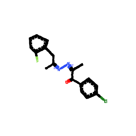 C/C(Cc1ccccc1F)=N/N=C(/C)C(=O)c1ccc(Cl)cc1